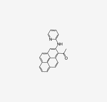 CC(=O)c1c(Nc2ccccn2)cc2ccc3cccc4ccc1c2c34